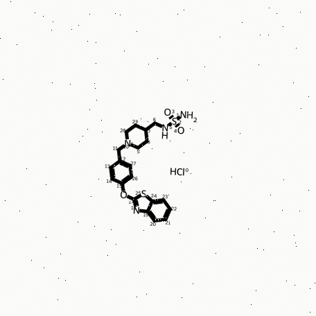 Cl.NS(=O)(=O)NCC1CCN(Cc2ccc(Oc3nc4ccccc4s3)cc2)CC1